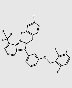 Fc1cc(Cl)ccc1Cn1nc2c(C(F)(F)F)cccc2c1-c1cccc(OCc2c(F)ccc(Cl)c2F)c1